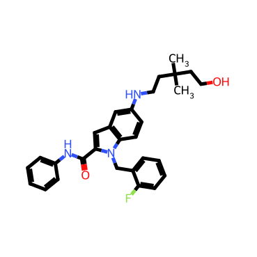 CC(C)(CCO)CCNc1ccc2c(c1)cc(C(=O)Nc1ccccc1)n2Cc1ccccc1F